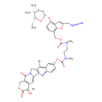 CCc1c2c(nc3ccc(OC(=O)N(C)CCN(C)C(=O)OCc4ccc(O[C@H]5C[C@@H](OC(C)=O)[C@@H](OC(C)=O)[C@@H](COC(C)=O)O5)c5cc(CN=[N+]=[N-])oc45)cc13)-c1cc3c(c(=O)n1C2)COC(=O)[C@@]3(O)CC